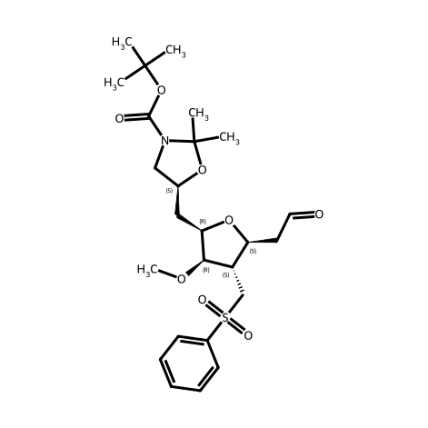 CO[C@@H]1[C@@H](CS(=O)(=O)c2ccccc2)[C@H](CC=O)O[C@@H]1C[C@H]1CN(C(=O)OC(C)(C)C)C(C)(C)O1